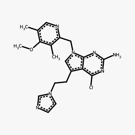 COc1c(C)cnc(Cn2cc(CCn3ccnc3)c3c(Cl)nc(N)nc32)c1C